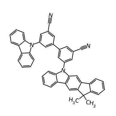 CC1(C)c2ccccc2-c2cc3c(cc21)c1ccccc1n3-c1cc(C#N)cc(-c2cc(C#N)cc(-n3c4ccccc4c4ccccc43)c2)c1